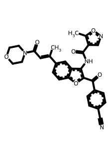 C/C(=C\C(=O)N1CCOCC1)c1ccc2oc(C(=O)c3ccc(C#N)cc3)c(NC(=O)c3cnoc3C)c2c1